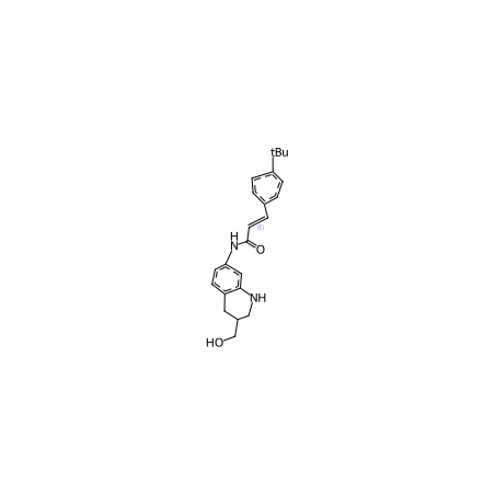 CC(C)(C)c1ccc(/C=C/C(=O)Nc2ccc3c(c2)NCC(CO)C3)cc1